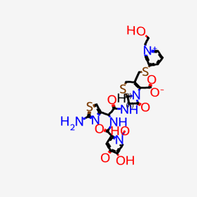 Nc1nc(C(NC(=O)c2cc(=O)c(O)cn2O)C(=O)N[C@@H]2C(=O)N3C(C(=O)[O-])=C(CSc4ccc[n+](CCO)c4)CS[C@H]23)cs1